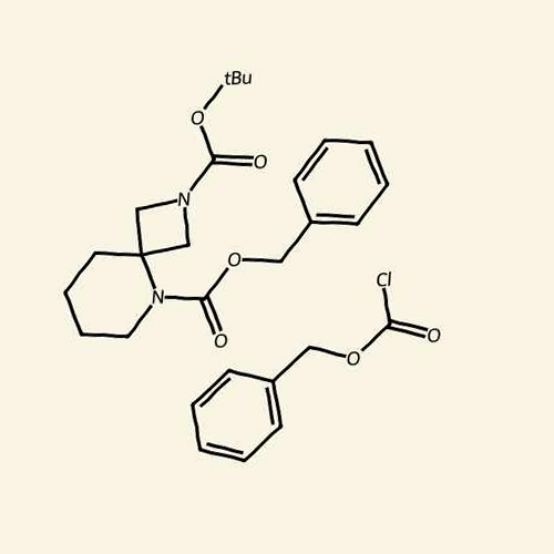 CC(C)(C)OC(=O)N1CC2(CCCCN2C(=O)OCc2ccccc2)C1.O=C(Cl)OCc1ccccc1